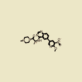 COc1ncc(-c2ccc3ncnc(N[C@@H](C)C(=O)N4CCN(C)CC4)c3c2)cc1[N+](=O)[O-]